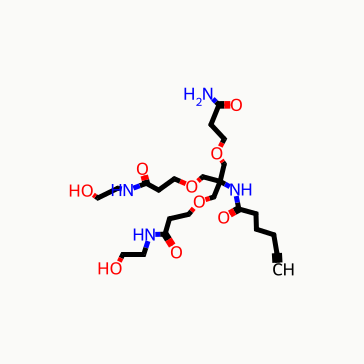 C#CCCCC(=O)NC(COCCC(N)=O)(COCCC(=O)NCCO)COCCC(=O)NCCO